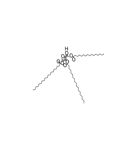 CCCCCCCCCCCCCCCCCCC(=O)O[C@H]1[C@@H]([C@H](O)COC(=O)CCCCCCCCCCCCCCC)OC[C@@H]1OC(=O)CCCCCCCCCCCCCCCCCC